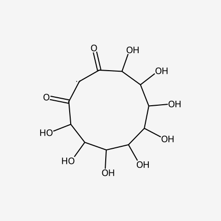 O=C1[CH]C(=O)C(O)C(O)C(O)C(O)C(O)C(O)C(O)C1O